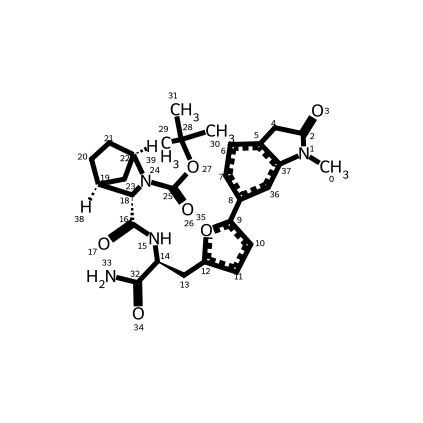 CN1C(=O)Cc2ccc(-c3ccc(C[C@H](NC(=O)[C@@H]4[C@H]5CC[C@H](C5)N4C(=O)OC(C)(C)C)C(N)=O)o3)cc21